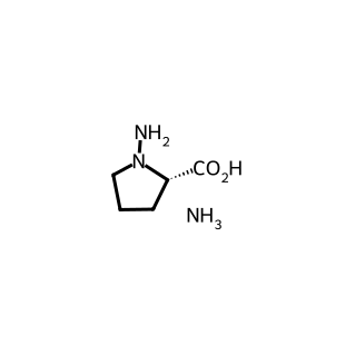 N.NN1CCC[C@H]1C(=O)O